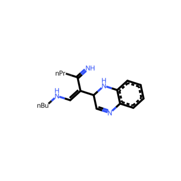 CCCCN/C=C(\C(=N)CCC)C1C=Nc2ccccc2N1